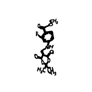 COC(=O)c1ccc(NC=C2C(=O)OC(C)(C)OC2=O)cc1F